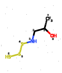 OC(CNSSS)C(F)(F)F